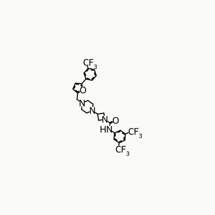 O=C(Nc1cc(C(F)(F)F)cc(C(F)(F)F)c1)N1CC(N2CCN(Cc3ccc(-c4cccc(C(F)(F)F)c4)o3)CC2)C1